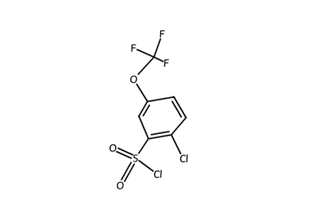 O=S(=O)(Cl)c1cc(OC(F)(F)F)ccc1Cl